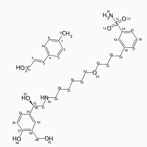 Cc1ccc(C=CC(=O)O)cc1.NS(=O)(=O)c1cccc(CCCCOCCCCCCNC[C@H](O)c2ccc(O)c(CO)c2)c1